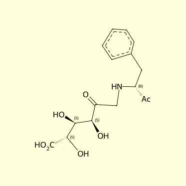 CC(=O)[C@@H](Cc1ccccc1)NCC(=O)[C@@H](O)[C@H](O)[C@H](O)C(=O)O